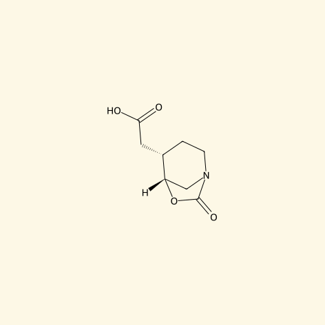 O=C(O)C[C@@H]1CCN2C[C@@H]1OC2=O